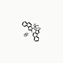 CC1=Cc2c(ccc3ccccc23)[CH]1[Zr+2]([CH]1C(C)=Cc2c1ccc1ccccc21)=[Si](C)C.[Cl-].[Cl-]